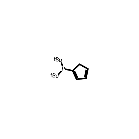 CC(C)(C)P(C1=CC=CC1)C(C)(C)C